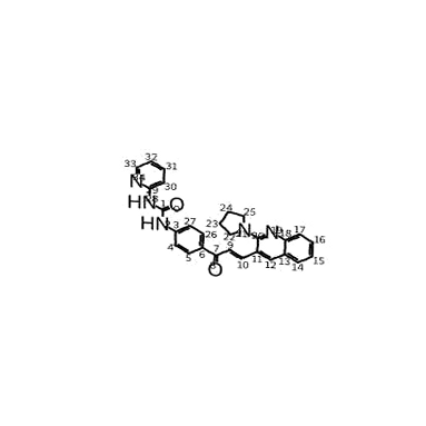 O=C(Nc1ccc(C(=O)C=Cc2cc3ccccc3nc2N2CCCC2)cc1)Nc1ccccn1